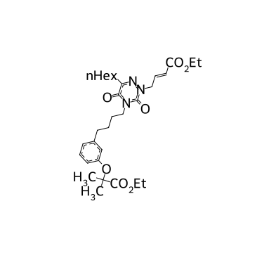 CCCCCCc1nn(CC=CC(=O)OCC)c(=O)n(CCCCc2cccc(OC(C)(C)C(=O)OCC)c2)c1=O